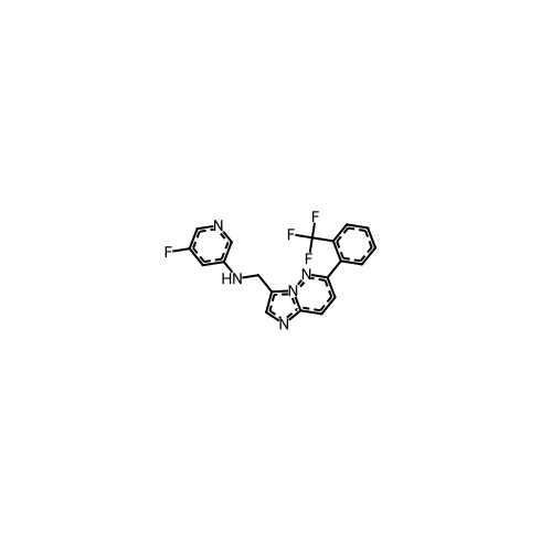 Fc1cncc(NCc2cnc3ccc(-c4ccccc4C(F)(F)F)nn23)c1